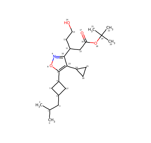 CC(C)CC1CC(c2onc(C(CCO)CC(=O)OC(C)(C)C)c2C2CC2)C1